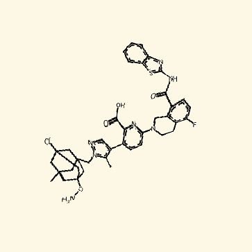 Cc1c(-c2ccc(N3CCc4c(F)ccc(C(=O)Nc5nc6ccccc6s5)c4C3)nc2C(=O)O)cnn1CC12CC3(C)CC(Cl)(C1)CC(ON)(C3)C2